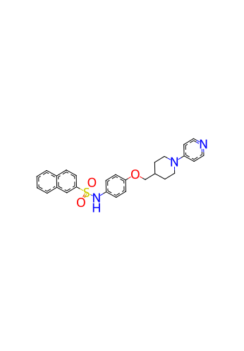 O=S(=O)(Nc1ccc(OCC2CCN(c3ccncc3)CC2)cc1)c1ccc2ccccc2c1